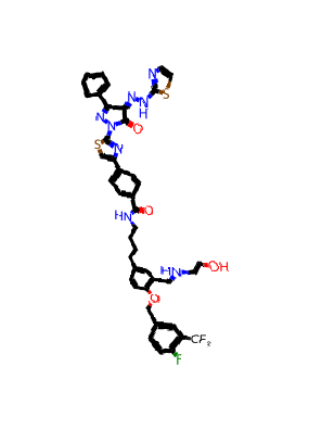 O=C(NCCCCc1ccc(OCc2ccc(F)c(C(F)(F)F)c2)c(CNCCO)c1)c1ccc(-c2csc(N3N=C(c4ccccc4)C(=NNc4nccs4)C3=O)n2)cc1